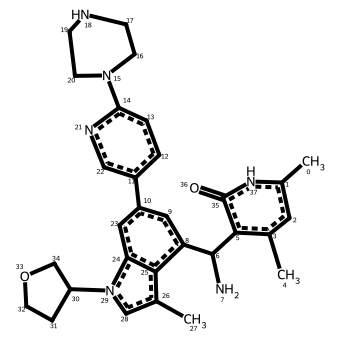 Cc1cc(C)c(C(N)c2cc(-c3ccc(N4CCNCC4)nc3)cc3c2c(C)cn3C2CCOC2)c(=O)[nH]1